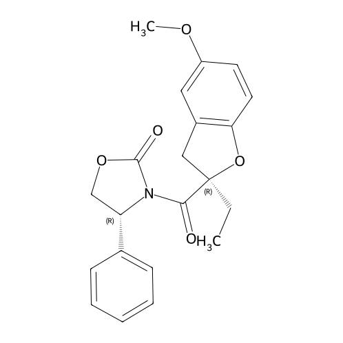 CC[C@]1(C(=O)N2C(=O)OC[C@H]2c2ccccc2)Cc2cc(OC)ccc2O1